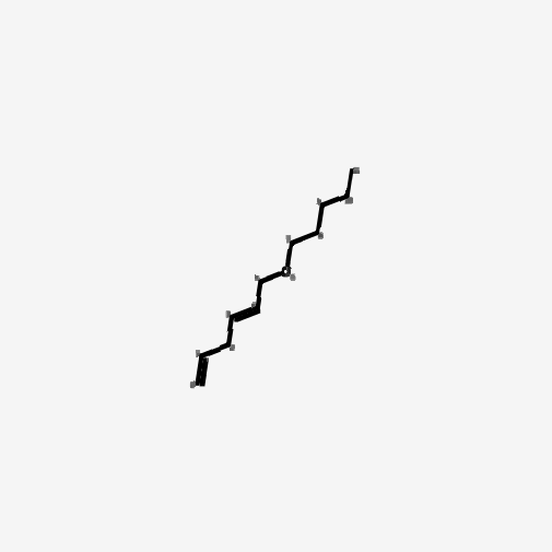 C=CCC=CCOCCCCC